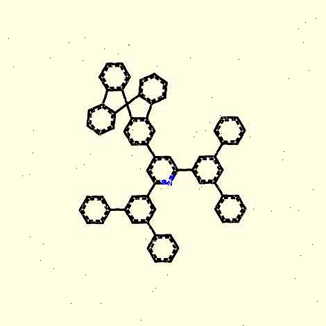 c1ccc(-c2cc(-c3ccccc3)cc(-c3cc(-c4ccc5c(c4)-c4ccccc4C54c5ccccc5-c5ccccc54)cc(-c4cc(-c5ccccc5)cc(-c5ccccc5)c4)n3)c2)cc1